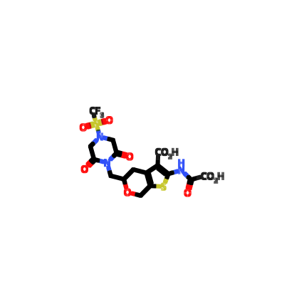 O=C(O)C(=O)Nc1sc2c(c1C(=O)O)CC(CN1C(=O)CN(S(=O)(=O)C(F)(F)F)CC1=O)OC2